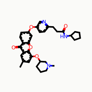 Cc1cc(OC2CCCN(C)C2)c2oc3cc(Oc4ccc(CCC(=O)NC5CCCC5)nc4)ccc3c(=O)c2c1